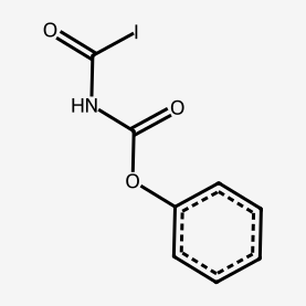 O=C(I)NC(=O)Oc1ccccc1